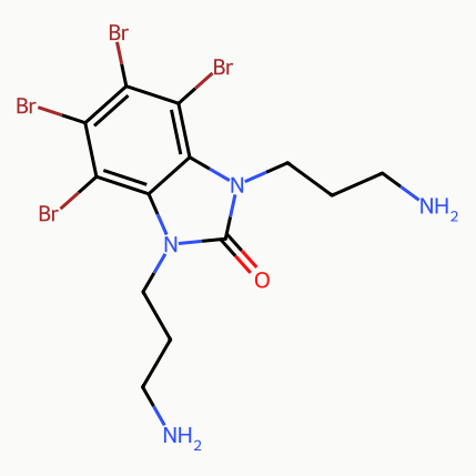 NCCCn1c(=O)n(CCCN)c2c(Br)c(Br)c(Br)c(Br)c21